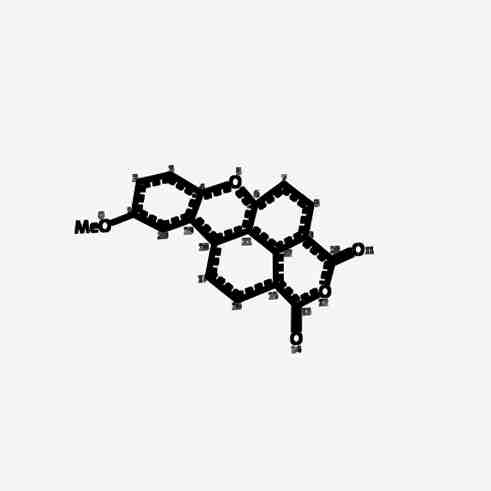 COc1ccc2oc3ccc4c(=O)oc(=O)c5ccc(c2c1)c3c45